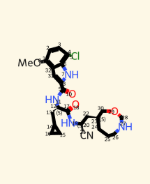 COc1ccc(Cl)c2[nH]c(C(=O)N[C@@H](CC3CC3)C(=O)N[C@H](C#N)C[C@@H]3CCCNCOC3)cc12